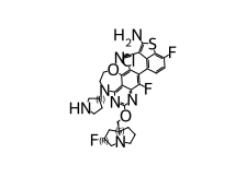 N#Cc1c(N)sc2c(F)ccc(-c3c(Cl)c4c5c(nc(OC[C@@]67CCCN6C[C@H](F)C7)nc5c3F)N([C@@H]3CCNC3)CCO4)c12